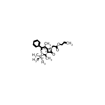 C=CCOC(=O)CN1C(=O)[C@H](C(C)O[Si](C)(C)C)[C@H]1[C@@H](C)C(=S)c1ccccc1